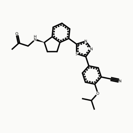 CC(=O)CN[C@@H]1CCc2c(-c3nnc(-c4ccc(OC(C)C)c(C#N)c4)s3)cccc21